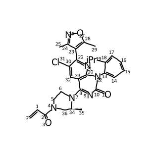 C=CC(=O)N1CCN(c2nc(=O)n(-c3ccccc3C(C)C)c3nc(-c4c(C)noc4C)c(Cl)cc23)[C@@H](C)C1